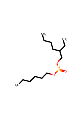 CCCCCCO[PH](=O)OCC(CC)CCCC